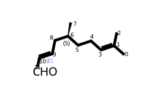 CC(C)=CCC[C@H](C)C/C=C/C=O